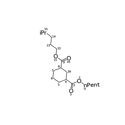 CCCCCOC(=O)C1CCCC(C(=O)OCCCC(C)C)C1